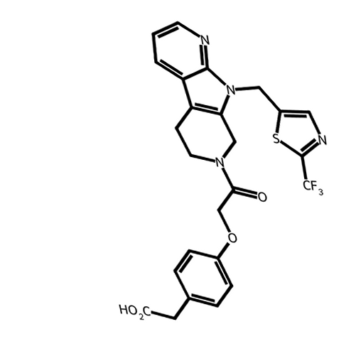 O=C(O)Cc1ccc(OCC(=O)N2CCc3c(n(Cc4cnc(C(F)(F)F)s4)c4ncccc34)C2)cc1